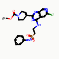 CC(C)(C)OC(=O)N1CC=C(c2nc(NCCS(=O)(=O)Nc3ccccc3)c3cc(Cl)ncc3n2)CC1